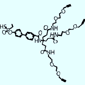 C#CCOCCOCCNC(=O)CCC(CCC(=O)NCCOCCOCC#C)(CCC(=O)NCCOCCOCC#C)NC(=O)c1ccc(-c2ccc(OP(=O)(S)CC)cc2)cc1